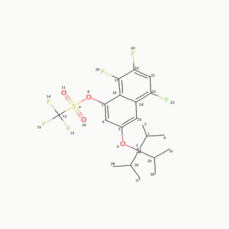 CC(C)[Si](Oc1cc(OS(=O)(=O)C(F)(F)F)c2c(F)c(F)cc(F)c2c1)(C(C)C)C(C)C